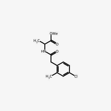 COC(=O)C(C)NC(=O)Cc1ccc(Cl)cc1C